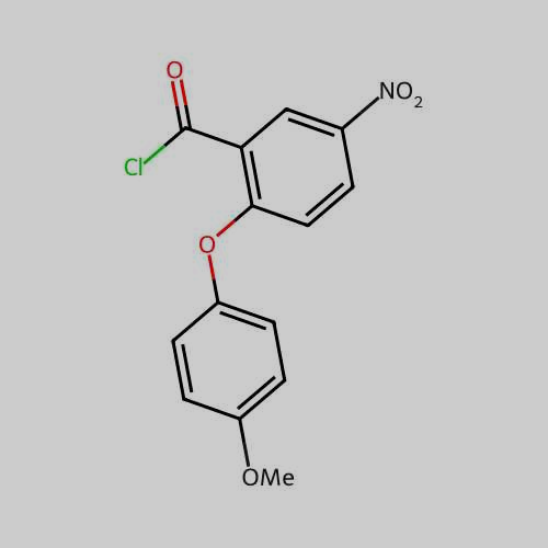 COc1ccc(Oc2ccc([N+](=O)[O-])cc2C(=O)Cl)cc1